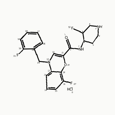 Cl.O=C(NC1CCNCC1F)C1=CN(Cc2ccccc2F)c2cccc(F)c2O1